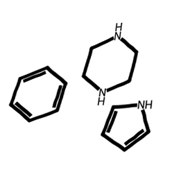 C1CNCCN1.c1cc[nH]c1.c1ccccc1